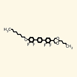 C=CCCC1OCC(c2ccc(-c3ccc(-c4ccc(OCCCCCCCC)c(F)c4F)cc3)c(F)c2F)CO1